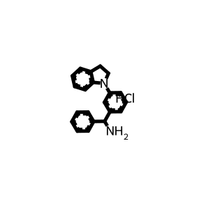 Cl.NC(c1ccccc1)c1cccc(N2CCc3ccccc32)c1